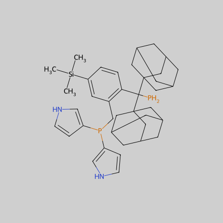 C[Si](C)(C)c1ccc(C(P)(C23CC4CC(CC(C4)C2)C3)C23CC4CC(CC(C4)C2)C3)c(CP(c2cc[nH]c2)c2cc[nH]c2)c1